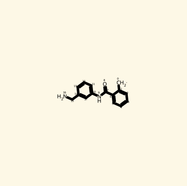 [CH2]c1ccccc1C(=O)Nc1cccc(CN)c1